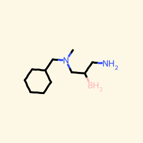 BC(CN)CN(C)CC1CCCCC1